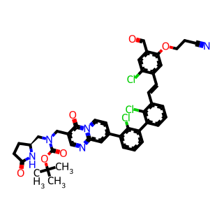 CC(C)(C)OC(=O)N(Cc1cnc2cc(-c3cccc(-c4cccc(/C=C/c5cc(OCCC#N)c(C=O)cc5Cl)c4Cl)c3Cl)ccn2c1=O)C[C@@H]1CCC(=O)N1